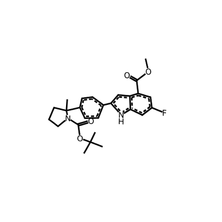 COC(=O)c1cc(F)cc2[nH]c(-c3ccc(C4(C)CCCN4C(=O)OC(C)(C)C)cc3)cc12